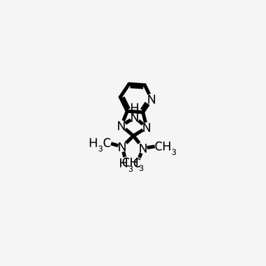 CN(C)C1(N(C)C)N2NN1c1ncccc12